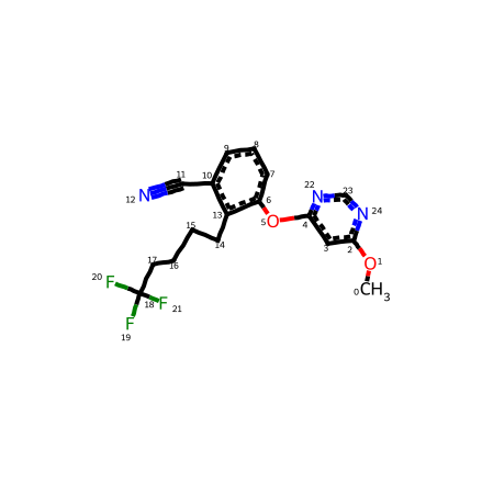 COc1cc(Oc2cccc(C#N)c2CCCCC(F)(F)F)ncn1